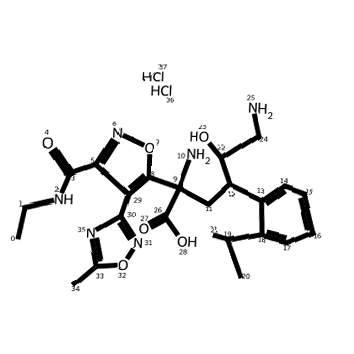 CCNC(=O)c1noc(C(N)(CC(c2ccccc2C(C)C)C(O)CN)C(=O)O)c1-c1noc(C)n1.Cl.Cl